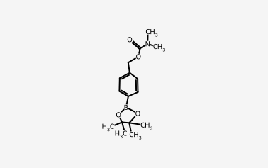 CN(C)C(=O)OCc1ccc(B2OC(C)(C)C(C)(C)O2)cc1